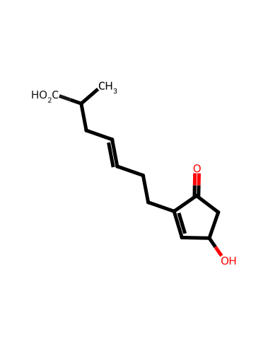 CC(CC=CCCC1=CC(O)CC1=O)C(=O)O